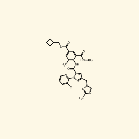 Cc1cc(C(=O)OCC2CCC2)cc(C(=O)NC(C)(C)C)c1NC(=O)c1cc(Cn2nnc(C(F)(F)F)n2)nn1-c1ncccc1Cl